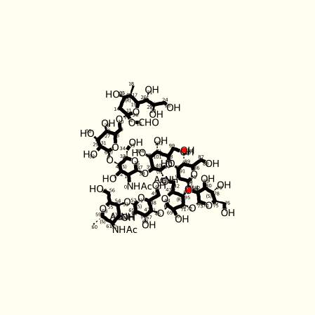 CC(=O)NC1C(O)[C@H](O[C@@H]2OC(CO[C@]3(OC=O)C[C@@H](O)[C@@H](C)C([C@H](O)[C@H](O)CO)O3)[C@H](O)[C@H](O)C2O)[C@H](CO)O[C@H]1OC1[C@@H](OCC2O[C@@H](O[C@@H]3C(CO)O[C@@H](O[C@@H]4C(CO)O[C@@H](C)C(NC(C)=O)[C@H]4O)C(NC(C)=O)[C@H]3O)C(O)[C@@H](O[C@H]3O[C@H](CO)[C@@H](O)C(O)C3O[C@@H]3OC(CO)[C@@H](O)[C@H](O)C3NC(C)=O)[C@@H]2O)OC(CO)[C@@H](O)[C@@H]1O